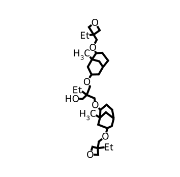 CCC1(COC2CC3CCC(OCC(CC)(CO)COC4CC5CCC(OCC6(CC)COC6)C(C)(C5)C4)C(C)(C3)C2)COC1